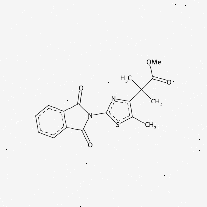 COC(=O)C(C)(C)c1nc(N2C(=O)c3ccccc3C2=O)sc1C